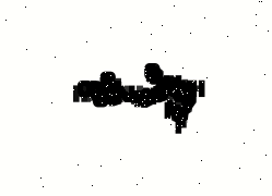 Cn1c(=O)n(C2CCC(=O)NC2=O)c2cccc(NCCCN3CCN(c4ccc(C(=O)Nc5n[nH]c6ccc(Cc7cc(F)cc(F)c7)cc56)c(NC5CCOCC5)c4)CC3)c21